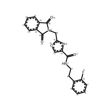 O=C(NCCc1ccccc1F)c1coc(CN2C(=O)c3ccccc3C2=O)n1